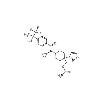 CC(O)(c1ccc(C(=O)N(C2CC2)C2CCC(COC(N)=O)(c3ccon3)CC2)cc1)C(F)(F)F